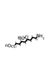 CC(C)(C)Cl.CCCCCCCCCCCCCCCCN